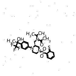 CC(=O)N(C[C@H]1CN(S(=O)(=O)C2=CC=CCC2=S)CCN1c1ccc([C@@](C)(O)C(F)(F)F)cc1)C(C)C